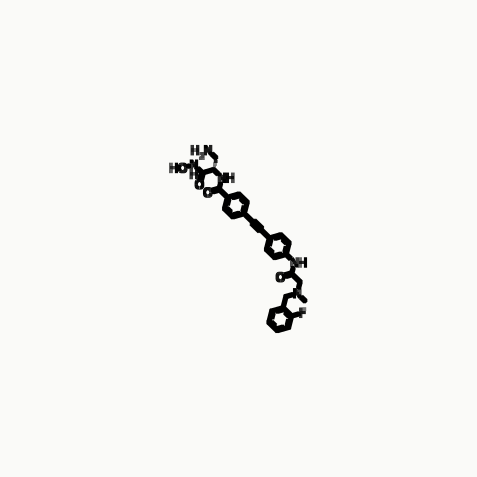 CN(CC(=O)Nc1ccc(C#Cc2ccc(C(=O)N[C@@H](CN)C(=O)NO)cc2)cc1)Cc1ccccc1F